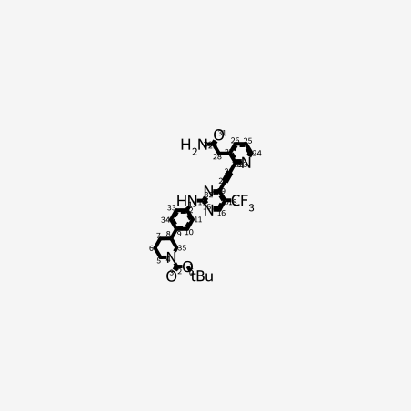 CC(C)(C)OC(=O)N1CCCC(c2ccc(Nc3ncc(C(F)(F)F)c(C#Cc4ncccc4CC(N)=O)n3)cc2)C1